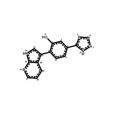 Oc1cc(-c2nnn[nH]2)ccc1-c1c[nH]c2ncccc12